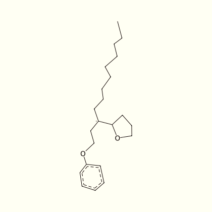 CCCCCCCCC[C](CCOc1ccccc1)C1CCCO1